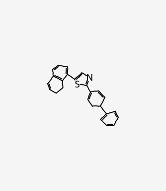 C1=Cc2cccc(-c3cnc(C4=CCC(c5ccccc5)C=C4)s3)c2CC1